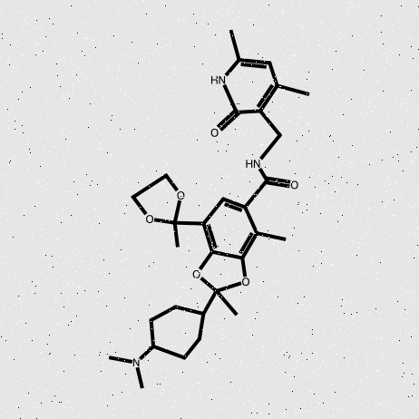 Cc1cc(C)c(CNC(=O)c2cc(C3(C)OCCO3)c3c(c2C)OC(C)(C2CCC(N(C)C)CC2)O3)c(=O)[nH]1